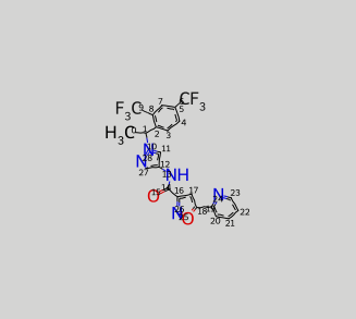 CC(c1ccc(C(F)(F)F)cc1C(F)(F)F)n1cc(NC(=O)c2cc(-c3ccccn3)on2)cn1